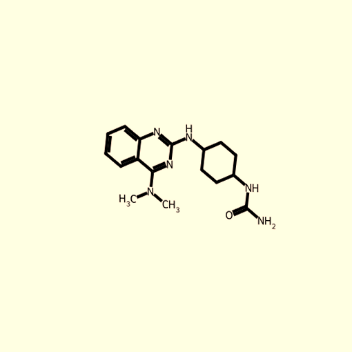 CN(C)c1nc(NC2CCC(NC(N)=O)CC2)nc2ccccc12